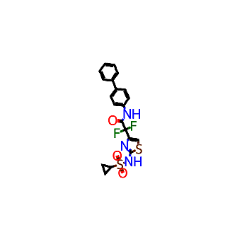 O=C(Nc1ccc(-c2ccccc2)cc1)C(F)(F)c1csc(NS(=O)(=O)C2CC2)n1